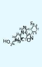 Cc1onc(-c2cccc(F)c2)c1-c1cncn1-c1ccc(C(=O)O)cc1